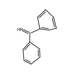 N=S(c1ccccc1)c1ccccc1